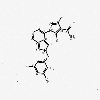 Cc1nn(-c2cccc3nn(Cc4cc(F)cc(Cl)c4)cc23)c(C)c1C(N)=O